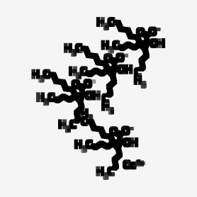 CCCCCCC1(CCCC)C(CCCC)C1(O)C(=O)[O-].CCCCCCC1(CCCC)C(CCCC)C1(O)C(=O)[O-].CCCCCCC1(CCCC)C(CCCC)C1(O)C(=O)[O-].CCCCCCC1(CCCC)C(CCCC)C1(O)C(=O)[O-].[Ge+4]